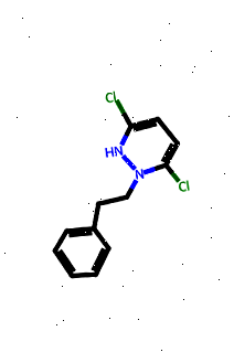 ClC1=CC=C(Cl)N(CCc2ccccc2)N1